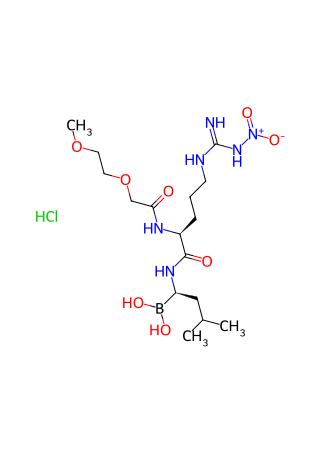 COCCOCC(=O)N[C@@H](CCCNC(=N)N[N+](=O)[O-])C(=O)N[C@@H](CC(C)C)B(O)O.Cl